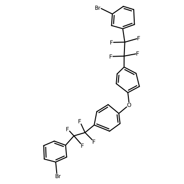 FC(F)(c1ccc(Oc2ccc(C(F)(F)C(F)(F)c3cccc(Br)c3)cc2)cc1)C(F)(F)c1cccc(Br)c1